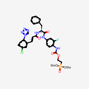 COP(=O)(CCOC(=O)Nc1ccc(NC(=O)[C@H](Cc2ccccc2)NC(=O)/C=C/c2cc(Cl)ccc2-n2cnnn2)cc1F)OC